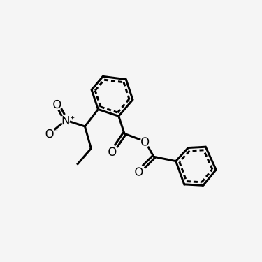 CCC(c1ccccc1C(=O)OC(=O)c1ccccc1)[N+](=O)[O-]